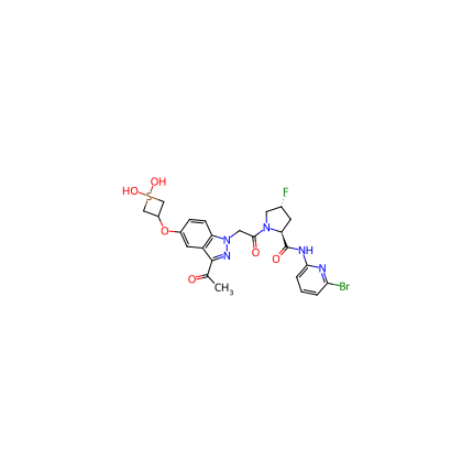 CC(=O)c1nn(CC(=O)N2C[C@H](F)C[C@H]2C(=O)Nc2cccc(Br)n2)c2ccc(OC3CS(O)(O)C3)cc12